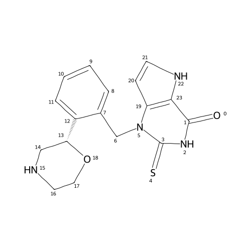 O=c1[nH]c(=S)n(Cc2ccccc2[C@H]2CNCCO2)c2cc[nH]c12